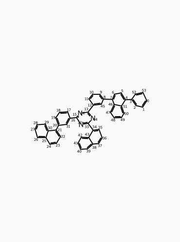 c1ccc(-c2ccc(-c3cccc(-c4nc(-c5cccc(-c6cccc7ccccc67)c5)nc(-c5cccc6ccccc56)n4)c3)c3ccccc23)cc1